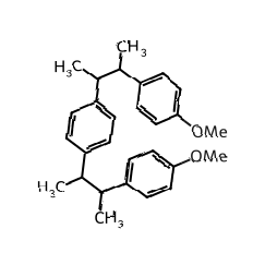 COc1ccc(C(C)C(C)c2ccc(C(C)C(C)c3ccc(OC)cc3)cc2)cc1